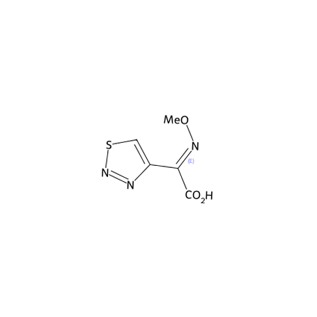 CO/N=C(/C(=O)O)c1csnn1